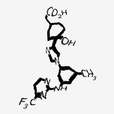 Cc1cc(Nc2nccc(C(F)(F)F)n2)cc(-n2cnc(C3(O)CCC(CC(=O)O)CC3)c2)c1